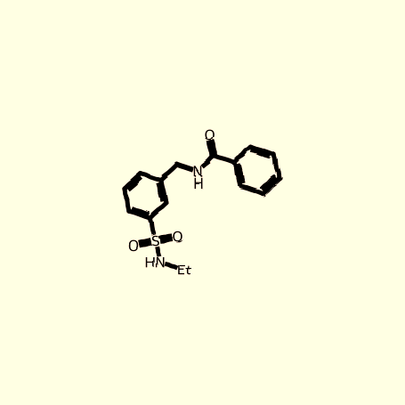 CCNS(=O)(=O)c1cccc(CNC(=O)c2ccccc2)c1